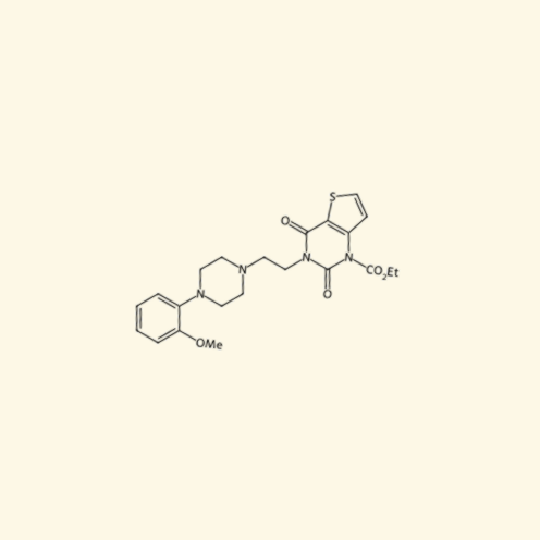 CCOC(=O)n1c(=O)n(CCN2CCN(c3ccccc3OC)CC2)c(=O)c2sccc21